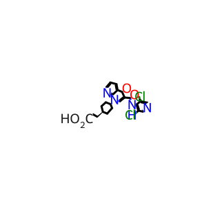 O=C(O)CC[C@H]1CC[C@H](n2cc(C(=O)Nc3c(Cl)cncc3Cl)c(=O)c3cccnc32)CC1